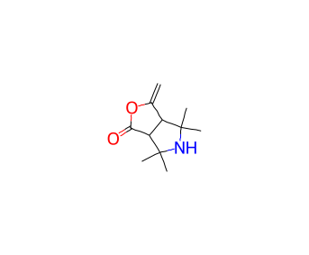 C=C1OC(=O)C2C1C(C)(C)NC2(C)C